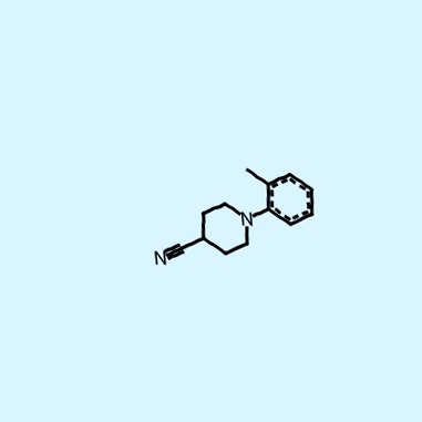 Cc1ccccc1N1CCC(C#N)CC1